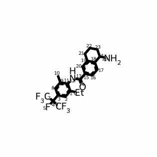 CCc1cc(C(F)(C(F)(F)F)C(F)(F)F)cc(C)c1NC(=O)c1ccc2c(c1)CCCC2N